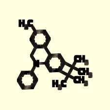 Cc1ccc2c(c1)CN(c1ccccc1)c1cc3c(cc1-2)C(C)(C)C3(C)C